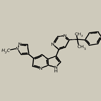 Cn1cc(-c2cnc3[nH]cc(-c4cc(C(C)(C)c5ccccc5)n[c]n4)c3c2)cn1